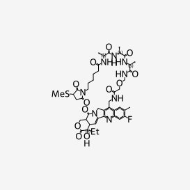 CC[C@@]1(O)C(=O)OCC2C(=O)N3Cc4c(nc5cc(F)c(C)cc5c4CNC(=O)COCNC(=O)[C@H](C)NC(=O)[C@H](C)NC(=O)[C@H](C)NC(=O)CCCCCN4C(=O)CC(SC)C4=O)C3=CC21